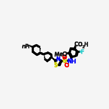 CCC[C@H]1CC[C@H]([C@H]2CC[C@H](c3nc(S(=O)(=O)Nc4cc(F)c(C(=O)O)cc4OC)cs3)CC2)CC1